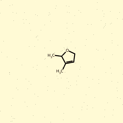 CC1=CCOC1C